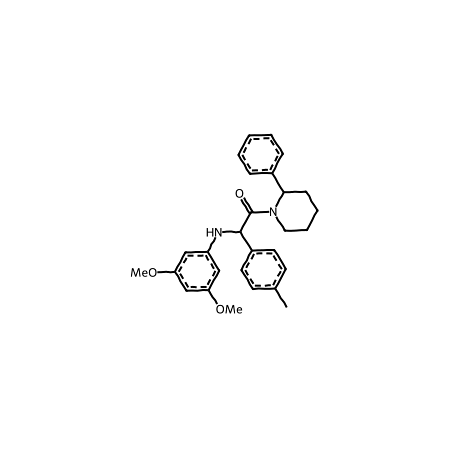 COc1cc(NC(C(=O)N2CCCCC2c2ccccc2)c2ccc(C)cc2)cc(OC)c1